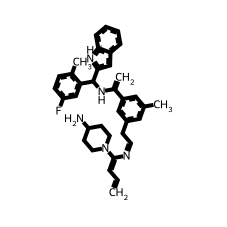 C=C/C=C(\N=C/Cc1cc(C)cc(C(=C)NC(c2cc3ccccc3[nH]2)c2cc(F)ccc2C)c1)N1CCC(N)CC1